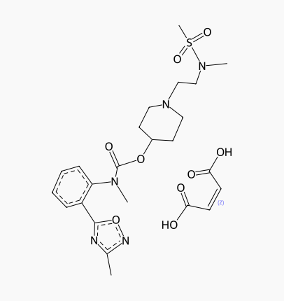 Cc1noc(-c2ccccc2N(C)C(=O)OC2CCN(CCN(C)S(C)(=O)=O)CC2)n1.O=C(O)/C=C\C(=O)O